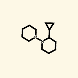 C1CCN(N2CCCCC2C2CC2)CC1